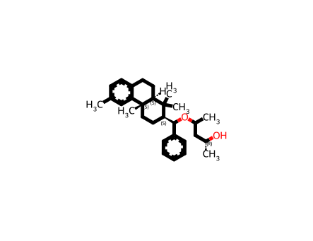 Cc1ccc2c(c1)[C@@]1(C)CC[C@H](C(OC(C)C[C@@H](C)O)c3ccccc3)C(C)(C)[C@@H]1CC2